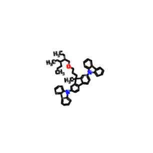 CCCC(CC)C(CC)COCCCC1(C)c2cc(-n3c4ccccc4c4ccccc43)ccc2-c2ccc(-n3c4ccccc4c4ccccc43)cc21